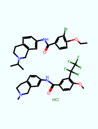 CCOc1ccc(C(=O)Nc2ccc3c(c2)CN(C(C)C)CC3)cc1Br.COc1ccc(C(=O)Nc2ccc3c(c2)CN(C)CC3)cc1C(F)(F)C(F)(F)F.Cl